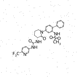 CS(=O)(=O)Nc1cc(N2CCC[C@@H](NC(=O)Nc3ccc(C(F)(F)F)nc3)C2=O)ccc1-c1ccccc1